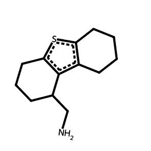 NCC1CCCc2sc3c(c21)CCCC3